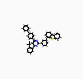 CC1(C)c2ccccc2-c2nc(-c3cccc(-c4cccc5c4sc4ccccc45)c3)nc(-c3ccc(-c4ccccc4)cc3)c21